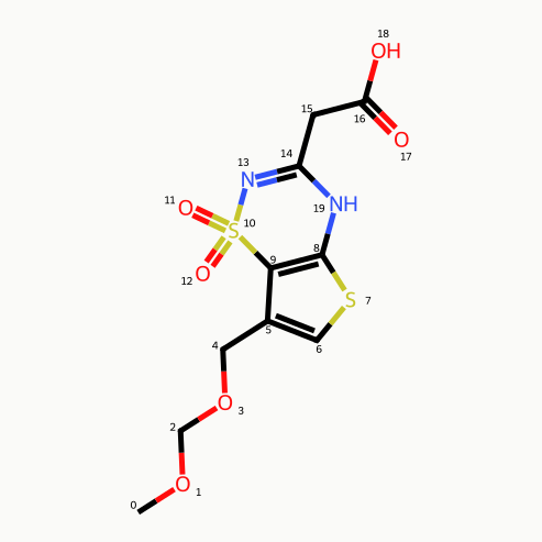 COCOCc1csc2c1S(=O)(=O)N=C(CC(=O)O)N2